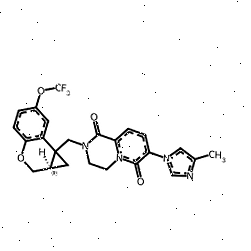 Cc1cn(-c2ccc3n(c2=O)CCN(CC24C[C@H]2COc2ccc(OC(F)(F)F)cc24)C3=O)cn1